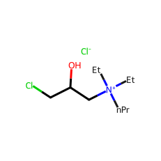 CCC[N+](CC)(CC)CC(O)CCl.[Cl-]